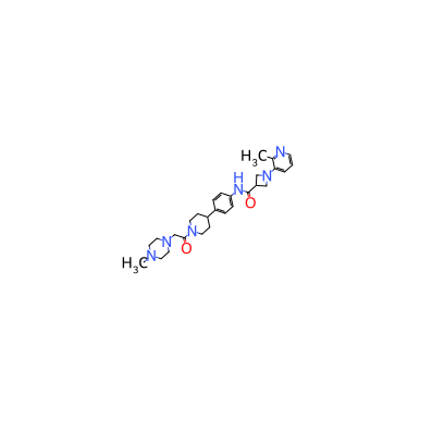 Cc1ncccc1N1CC(C(=O)Nc2ccc(C3CCN(C(=O)CN4CCN(C)CC4)CC3)cc2)C1